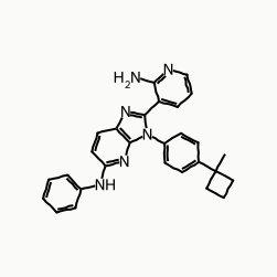 CC1(c2ccc(-n3c(-c4cccnc4N)nc4ccc(Nc5ccccc5)nc43)cc2)CCC1